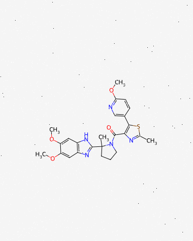 COc1ccc(-c2sc(C)nc2C(=O)N2CCCC2(C)c2nc3cc(OC)c(OC)cc3[nH]2)cn1